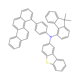 CC1(C)c2ccccc2-c2c(N(c3ccc(-c4cccc5ccc6c7ccccc7ccc6c45)cc3)c3ccc4sc5ccccc5c4c3)cccc21